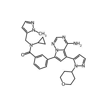 Cn1nccc1CN(C(=O)c1cccc(-c2cc(-c3ccnn3C3CCOCC3)c3c(N)ncnn23)c1)C1CC1